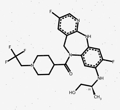 C[C@@H](CO)Nc1cc2c(cc1F)Nc1ncc(F)cc1CN2C(=O)C1CCN(CC(F)(F)F)CC1